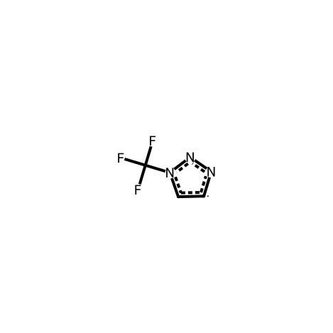 FC(F)(F)n1c[c]nn1